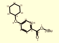 CC(C)(C)OC(=O)c1ccc(OC2CCCCC2)cn1